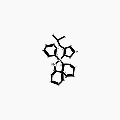 CC(C)CC1=C([Si](Nc2ccccc2)(c2ccccc2)c2ccccc2)CC=C1